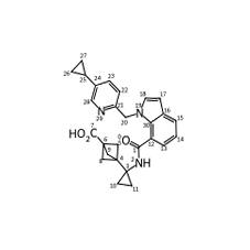 O=C(NC1(C23CC(C(=O)O)(C2)C3)CC1)c1cccc2ccn(Cc3ccc(C4CC4)cn3)c12